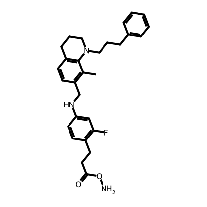 Cc1c(CNc2ccc(CCC(=O)ON)c(F)c2)ccc2c1N(CCCc1ccccc1)CCC2